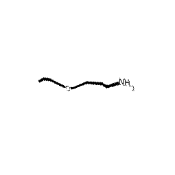 CCOC[CH]N